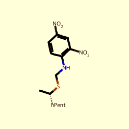 CCCCC[C@H](C)SCNc1ccc([N+](=O)[O-])cc1[N+](=O)[O-]